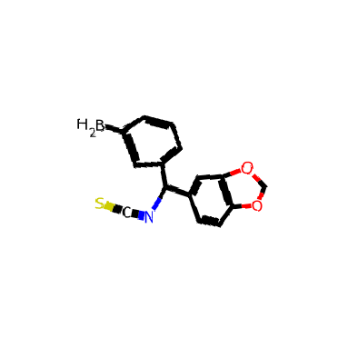 Bc1cccc(C(N=C=S)c2ccc3c(c2)OCO3)c1